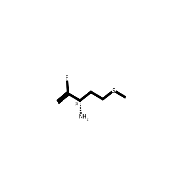 C=C(F)[C@@H](N)CCSC